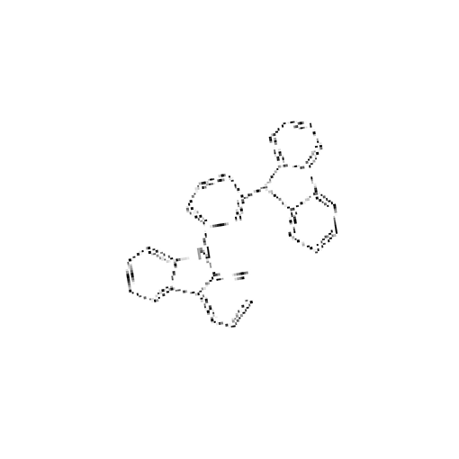 c1cc(C2c3ccccc3-c3ccccc32)cc(-n2c3ccccc3c3ccccc32)c1